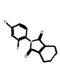 O=C1C2CCCCC2C(=O)N1c1ccc(F)cc1F